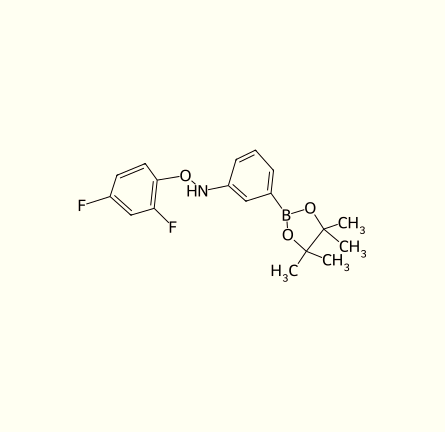 CC1(C)OB(c2cccc(NOc3ccc(F)cc3F)c2)OC1(C)C